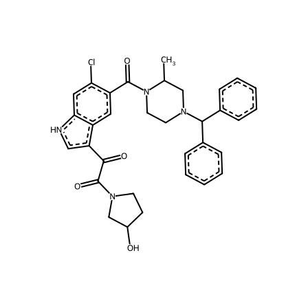 CC1CN(C(c2ccccc2)c2ccccc2)CCN1C(=O)c1cc2c(C(=O)C(=O)N3CCC(O)C3)c[nH]c2cc1Cl